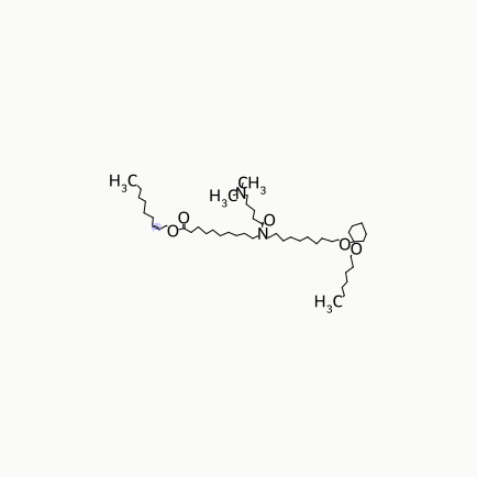 CCCCCC/C=C\COC(=O)CCCCCCCCCN(CCCCCCCCCCOC1(OCCCCCCC)CCCCC1)C(=O)CCCCN(C)C